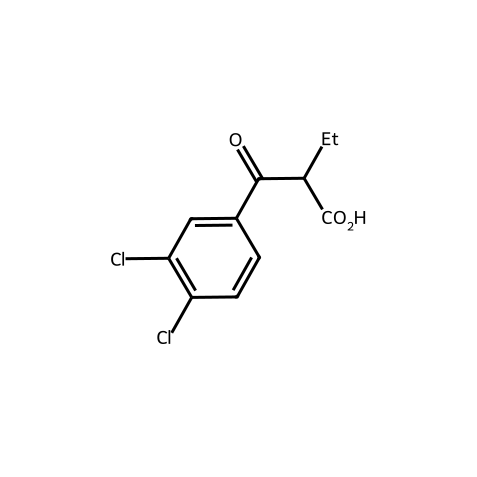 CCC(C(=O)O)C(=O)c1ccc(Cl)c(Cl)c1